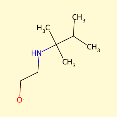 CC(C)C(C)(C)NCC[O]